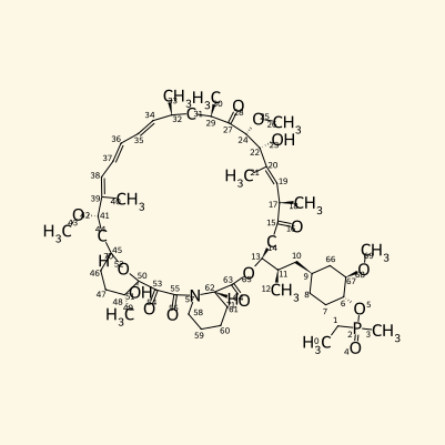 CCP(C)(=O)O[C@@H]1CC[C@@H](C[C@@H](C)[C@@H]2CC(=O)[C@H](C)/C=C(\C)[C@@H](O)[C@@H](OC)C(=O)[C@H](C)C[C@H](C)/C=C/C=C/C=C(\C)[C@@H](OC)C[C@@H]3CC[C@@H](C)[C@@](O)(O3)C(=O)C(=O)N3CCCC[C@H]3C(=O)O2)C[C@H]1OC